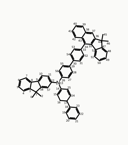 CC1(C)c2ccccc2-c2ccc(N(C3=CCC(c4ccccc4)C=C3)c3ccc(-c4ccc(-c5c6c(cc7ccccc57)C(C)(C)c5ccccc5-6)cc4)cc3)cc21